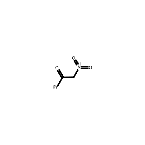 CC(C)C(=O)C[SH](=O)=O